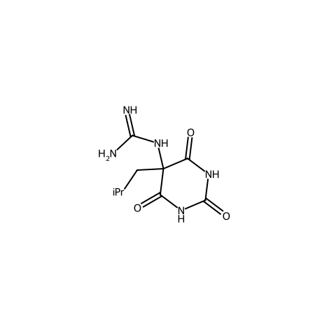 CC(C)CC1(NC(=N)N)C(=O)NC(=O)NC1=O